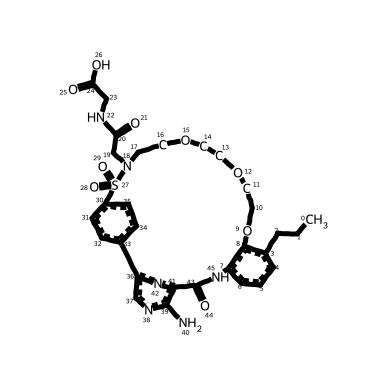 CCCc1cccc2c1OCCOCCOCCN(CC(=O)NCC(=O)O)S(=O)(=O)c1ccc(cc1)-c1cnc(N)c(n1)C(=O)N2